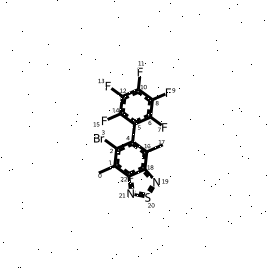 Cc1c(Br)c(-c2c(F)c(F)c(F)c(F)c2F)c(C)c2nsnc12